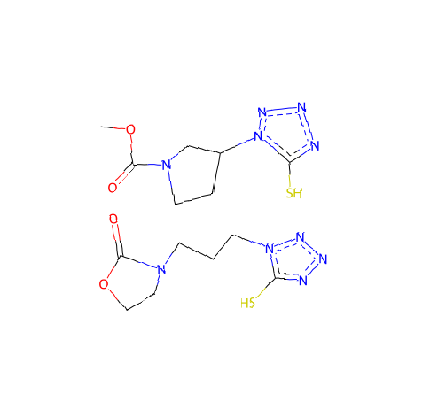 COC(=O)N1CCC(n2nnnc2S)C1.O=C1OCCN1CCCn1nnnc1S